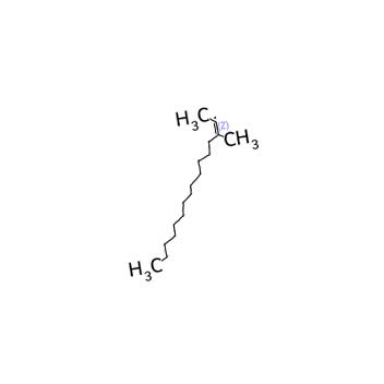 C/[C]=C(/C)CCCCCCCCCCCCC